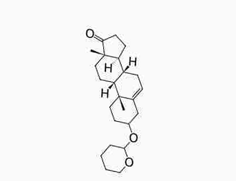 C[C@]12CCC(OC3CCCCO3)CC1=CC[C@@H]1[C@H]2CC[C@]2(C)C(=O)CC[C@@H]12